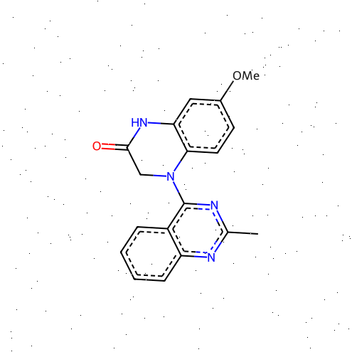 COc1ccc2c(c1)NC(=O)CN2c1nc(C)nc2ccccc12